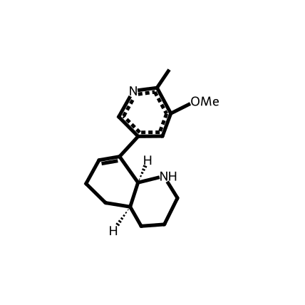 COc1cc(C2=CCC[C@@H]3CCCN[C@H]23)cnc1C